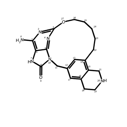 Nc1nc2nc3c1[nH]c(=O)n3Cc1cc(c3c(c1)CCNC3)CCCCCO2